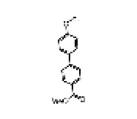 CCOc1ccc(-c2ccc(C(=O)OC)cc2)cc1